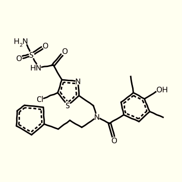 Cc1cc(C(=O)N(CCCc2ccccc2)Cc2nc(C(=O)NS(N)(=O)=O)c(Cl)s2)cc(C)c1O